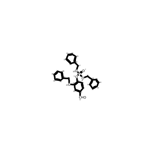 O=Cc1ccc(OP(=O)(OCc2ccccc2)OCc2ccccc2)c(OCc2ccccc2)c1